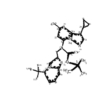 CC(C)(C)OC(=O)N(Cc1cn2c(C(F)(F)F)cccc2n1)c1cc(Cl)nc2c(C3CC3)cnn12